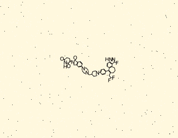 O=C1CC[C@H](N2Cc3cc(N4CCN(CC5CCN(c6ccc(C7=C(CC(F)F)CCCc8c7ccc7[nH]nc(F)c87)cc6)CC5)CC4)ccc3C2=O)C(=O)N1